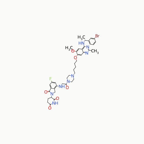 COc1cc2c(N[C@H](C)c3cccc(Br)c3)nc(C)nc2cc1OCCCCCN1CCN(C(=O)CNc2cc(F)cc3c2CN(C2CCC(=O)NC2=O)C3=O)CC1